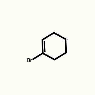 BrC1=CC[CH]CC1